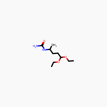 CCOC(CCC([SiH3])NC(N)=O)OCC